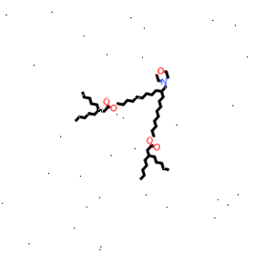 CCCCCC(CCCCC)CC(=O)OCCCCCCCCCC(CCCCCCCCCOC(=O)CC(CCCCC)CCCCC)CN1CCOCC1